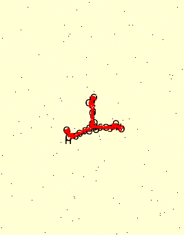 CCC(COC(=O)CCSCCCOCCSc1ccc(C(=O)C(C)(C)N2CCOCC2)cc1)(COC(=O)CCSCCCOCCSc1ccc(C(=O)C(C)(C)N2CCOCC2)cc1)COC(=O)CCSCCCOCCSc1ccc(C(=O)C(C)(C)[SH]2CCOCC2)cc1